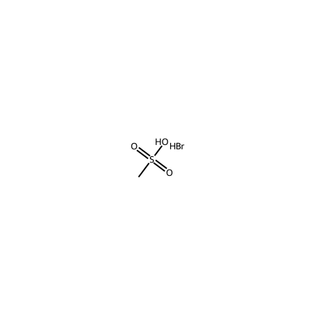 Br.CS(=O)(=O)O